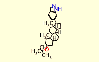 CC(C)(C)O[C@H]1CC[C@@]2(C)C(=CC[C@H]3[C@@H]4CC[C@H](c5ccc6cn[nH]c6c5)[C@@]4(C)CC[C@@H]32)C1